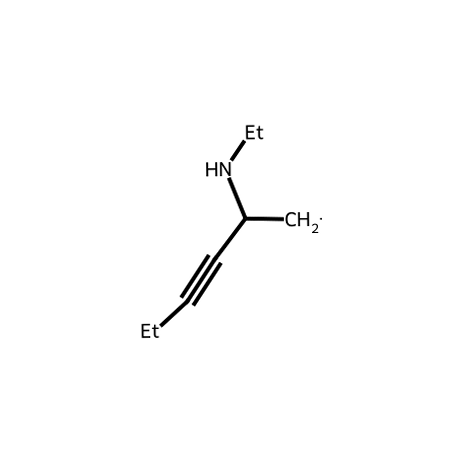 [CH2]C(C#CCC)NCC